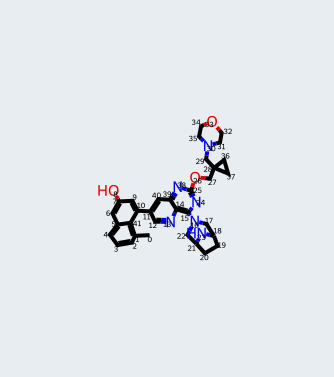 Cc1cccc2cc(O)cc(-c3cnc4c(N5CC6CCC(C5)N6)nc(OCC5(CN6CCOCC6)CC5)nc4c3)c12